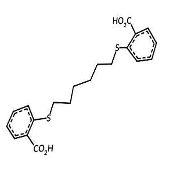 O=C(O)c1ccccc1SCCCCCCSc1ccccc1C(=O)O